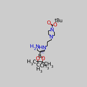 CC(C)(C)OC(=O)N1CCN(CCCN/C=C(\CN)B2OC(C)(C)C(C)(C)O2)CC1